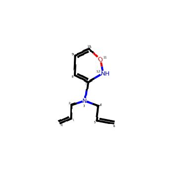 C=CCN(CC=C)C1=CC=CON1